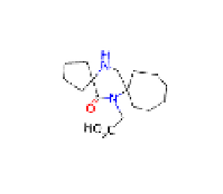 O=C(O)CN1C(=O)C2(CCCC2)NCC12CCCCCC2